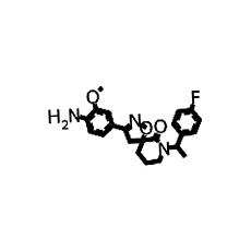 COc1cc(C2=NOC3(CCCN(C(C)c4ccc(F)cc4)C3=O)C2)ccc1N